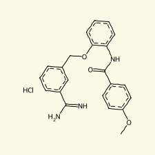 COc1ccc(C(=O)Nc2ccccc2OCc2cccc(C(=N)N)c2)cc1.Cl